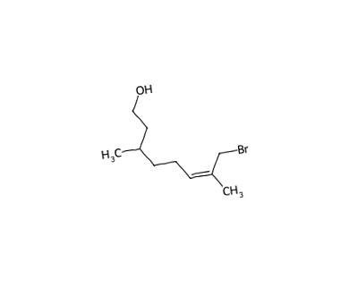 C/C(=C/CCC(C)CCO)CBr